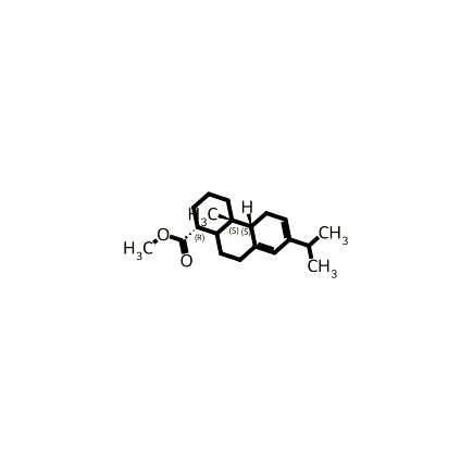 COC(=O)[C@@H]1CCC[C@@]2(C)C1CCC1=CC(C(C)C)=CC[C@H]12